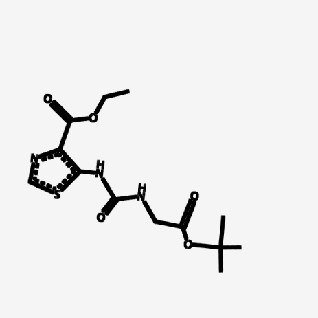 CCOC(=O)c1ncsc1NC(=O)NCC(=O)OC(C)(C)C